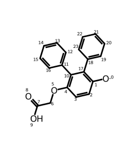 [O]c1ccc(OCC(=O)O)c(-c2ccccc2)c1-c1ccccc1